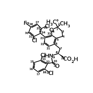 CC1(C)CCc2c(C[C@H](NC(=O)c3c(Cl)cccc3Cl)C(=O)O)ccc(-c3c(Cl)cc(F)cc3Cl)c2O1